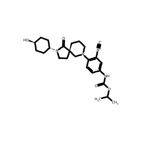 [C-]#[N+]c1cc(NC(=O)OC(C)C)ccc1N1CCC[C@]2(CCN([C@H]3CC[C@H](O)CC3)C2=O)C1